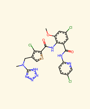 COc1cc(Cl)cc(C(=O)Nc2ccc(Cl)cn2)c1NC(=O)c1scc(CN(C)c2nnn[nH]2)c1Cl